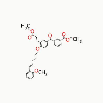 CCOC(=O)CCc1cc(C(=O)c2cccc(C(=O)OCC)c2)ccc1OCCCCC=Cc1ccccc1OC